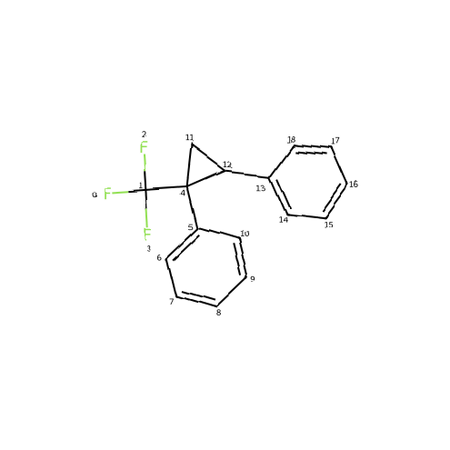 FC(F)(F)C1(c2ccccc2)CC1c1ccccc1